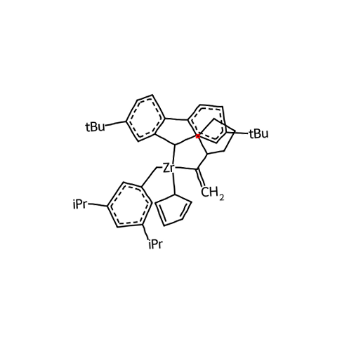 C=[C](C1CCCC1)[Zr]([CH2]c1cc(C(C)C)cc(C(C)C)c1)([CH]1C=CC=C1)[CH]1c2cc(C(C)(C)C)ccc2-c2ccc(C(C)(C)C)cc21